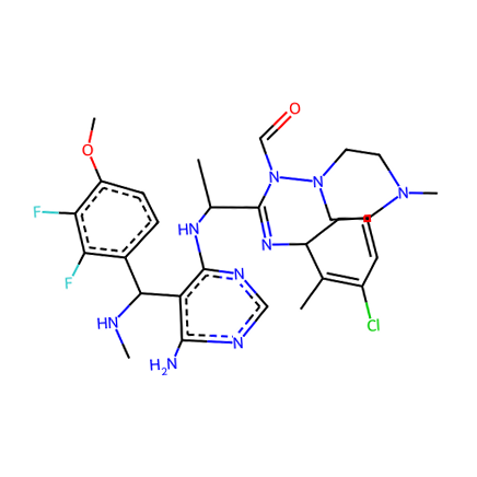 CNC(c1ccc(OC)c(F)c1F)c1c(N)ncnc1NC(C)/C(=N/C1CC=CC(Cl)=C1C)N(C=O)N1CCN(C)CC1